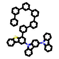 c1ccc(-c2cccc(-c3cccc(-c4cccc(-c5cccc(-c6cccc(-c7cc(-n8c9ccccc9c9cc(-n%10c%11ccccc%11c%11ccccc%11%10)ccc98)cc8c7sc7ccccc78)c6)c5)c4)c3)c2)cc1